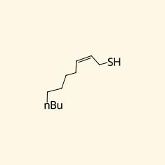 CCCCCCCC/C=C\CS